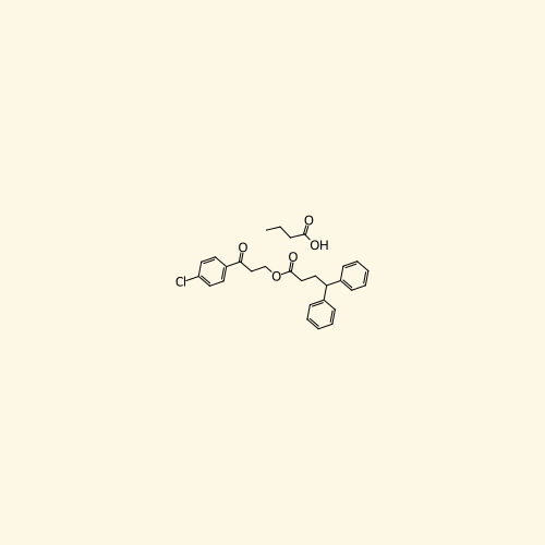 CCCC(=O)O.O=C(CCC(c1ccccc1)c1ccccc1)OCCC(=O)c1ccc(Cl)cc1